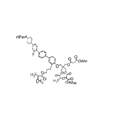 C=C(C)C(=O)OCCCc1cc(-c2ccc(-c3ccc(C4CCC(CCCCC)CC4)cc3F)cc2)ccc1OCC(COC(=O)CC(=O)OC)(COC(=O)CC(=O)OC)COC(=O)C(=C)C